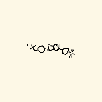 CC(C)(O)CN1CCC([C@H]2Cc3cc(C4=CCN(S(C)(=O)=O)CC4)ncc3O2)CC1